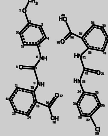 COc1ccc(NC(=O)Nc2ccccc2C(=O)O)cc1.O=C(Nc1ccc(Cl)cc1)Nc1ccccc1C(=O)O